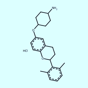 Cc1cccc(C)c1C1CCc2cc(OC3CCC(N)CC3)ccc2O1.Cl